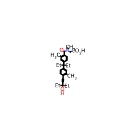 CCC(O)(C#Cc1ccc(C(CC)(CC)c2ccc(C(=O)N(C)CC(=O)O)c(C)c2)cc1C)CC